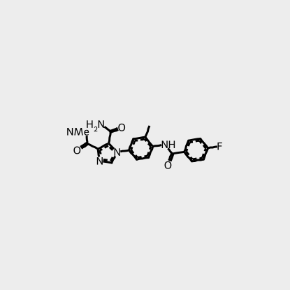 CNC(=O)c1ncn(-c2ccc(NC(=O)c3ccc(F)cc3)c(C)c2)c1C(N)=O